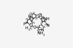 C[C@H]1Oc2cc(cnc2N)-c2c(n[nH]c2C#N)C(=O)c2cccnc2-c2c(F)cc(F)cc21